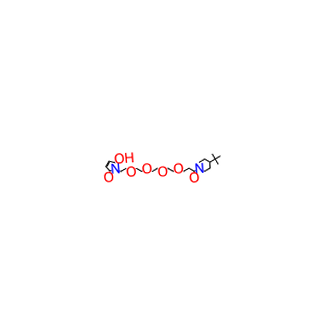 CC(C)(C)C1CCN(C(=O)CCOCCOCCOCCOCCN2C(=O)C=CC2O)CC1